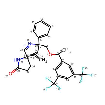 C=C[C@](COC(C)c1cc(C(F)(F)F)cc(C(F)(F)F)c1)(/N=C\[C@]1(C=C)CCC(=O)N1)c1ccccc1